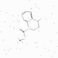 CC(C)(C)OC(=O)N1CCC(O)c2ccccc21